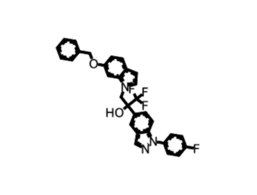 OC(Cn1ccc2ccc(OCc3ccccc3)cc21)(c1ccc2c(cnn2-c2ccc(F)cc2)c1)C(F)(F)F